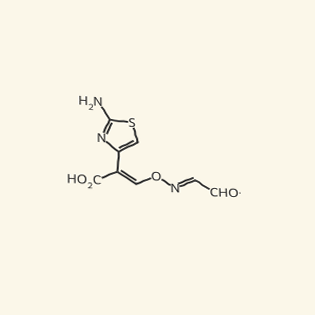 Nc1nc(/C(=C\O/N=C/[C]=O)C(=O)O)cs1